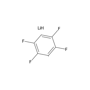 Fc1[c]c(F)c(F)cc1F.[LiH]